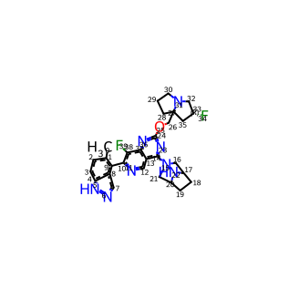 Cc1ccc2[nH]ncc2c1-c1ncc2c(N3CC4CCC(C3)N4)nc(OCC34CCCN3C[C@H](F)C4)nc2c1F